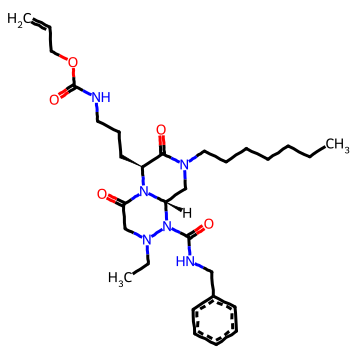 C=CCOC(=O)NCCC[C@H]1C(=O)N(CCCCCCC)C[C@H]2N1C(=O)CN(CC)N2C(=O)NCc1ccccc1